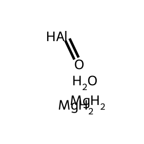 O.[MgH2].[MgH2].[O]=[AlH]